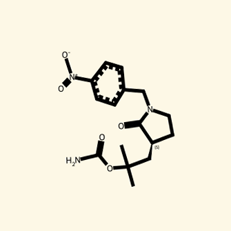 CC(C)(C[C@@H]1CCN(Cc2ccc([N+](=O)[O-])cc2)C1=O)OC(N)=O